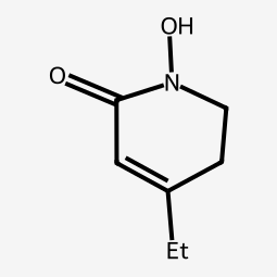 CCC1=CC(=O)N(O)CC1